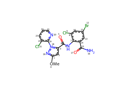 COc1cc(C(=O)Nc2c(Cl)cc(Br)cc2C(N)=O)n(-c2ncccc2Cl)n1